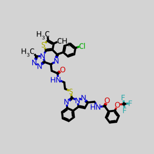 Cc1sc2c(c1C)C(c1ccc(Cl)cc1)=NC(CC(=O)NCCSc1nc3ccccc3c3cc(CNC(=O)c4ccccc4OC(F)(F)F)nn13)c1nnc(C)n1-2